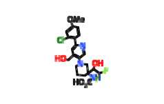 COc1ccc(-c2cc(CO)c(N3CCCC(NC(=O)O)(C(O)C(F)F)C3)cn2)c(Cl)c1